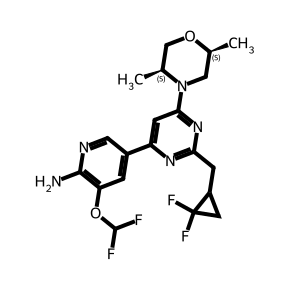 C[C@H]1CN(c2cc(-c3cnc(N)c(OC(F)F)c3)nc(CC3CC3(F)F)n2)[C@@H](C)CO1